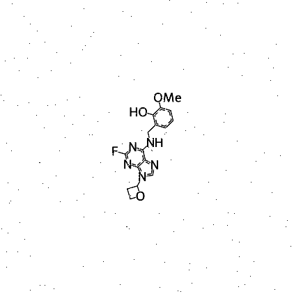 COc1cccc(CNc2nc(F)nc3c2ncn3C2CCO2)c1O